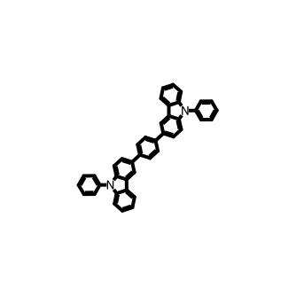 c1ccc(-n2c3ccccc3c3cc(-c4ccc(-c5ccc6c(c5)c5ccccc5n6-c5ccccc5)cc4)ccc32)cc1